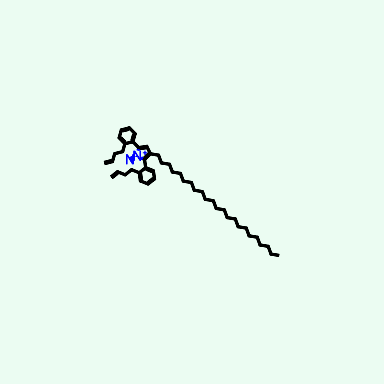 C=CCCc1ccccc1C1=CC(CCCCCCCCCCCCCCCCCCCCCCC)=C(c2ccccc2CCC=C)[N+]1=[N-]